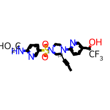 CC#C[C@H]1CN(S(=O)(=O)c2ccc(NC(=O)O)nc2)CCN1c1ccc(C(O)C(F)(F)F)cn1